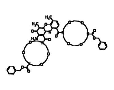 Cc1c2oc3c(C)ccc(C(=O)N4CCOCCOCCN(C(=O)OCc5ccccc5)CCOCCOCC4)c3nc-2c(C(=O)N2CCOCCOCCN(C(=O)OCc3ccccc3)CCOCCOCC2)c(N)c1=O